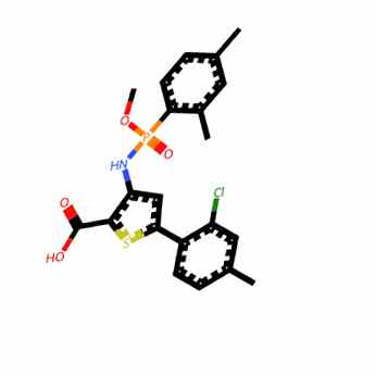 COP(=O)(Nc1cc(-c2ccc(C)cc2Cl)sc1C(=O)O)c1ccc(C)cc1C